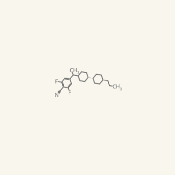 CCC[C@H]1CC[C@H](C2CCC(C(C)c3cc(F)c(C#N)c(F)c3)CC2)CC1